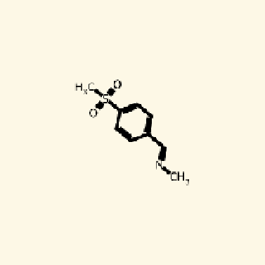 C/N=C/c1ccc(S(C)(=O)=O)cc1